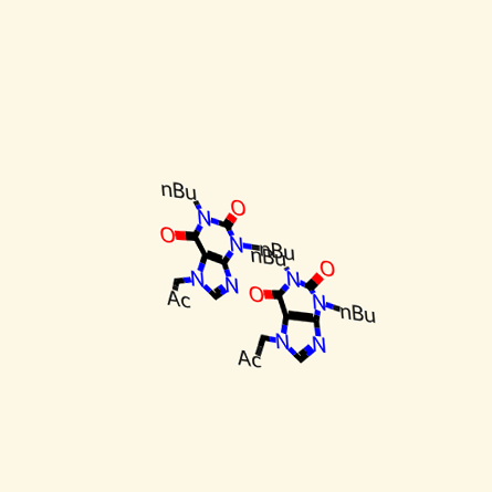 CCCCn1c(=O)c2c(ncn2CC(C)=O)n(CCCC)c1=O.CCCCn1c(=O)c2c(ncn2CC(C)=O)n(CCCC)c1=O